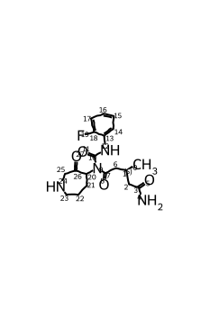 C[C@@H](CC(N)=O)CC(=O)N(C(=O)Nc1ccccc1F)C1CCCNCC1=O